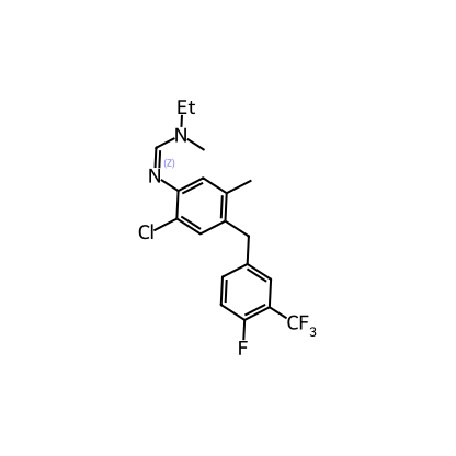 CCN(C)/C=N\c1cc(C)c(Cc2ccc(F)c(C(F)(F)F)c2)cc1Cl